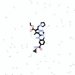 CCOC(=O)c1c(C)c2c(Nc3cc(C(=O)NC4CC4)ccc3C)ncnn2c1CN1CCCC1